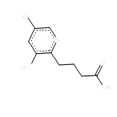 Cc1cc(Cl)cnc1CCCC(=O)O